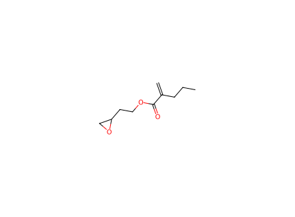 C=C(CCC)C(=O)OCCC1CO1